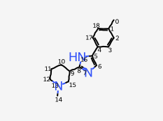 Cc1ccc(-c2cnc(C3CCCN(C)C3)[nH]2)cc1